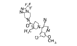 COc1cc(Cl)cc2c(N3CC[C@H](C(=O)N4CCn5c(nnc5C(F)(F)F)C4)[C@H](C)C3)c(C#N)cnc12